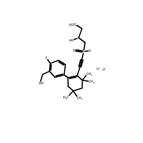 CC1(C)CC(c2ccc(F)c(CO)c2)=C(C#CP(=O)([O-])C[C@@H](O)CC(=O)[O-])C(C)(C)C1.[Li+].[Li+]